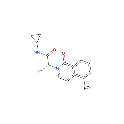 CC(C)[C@H](C(=O)NC1CC1)n1ccc2c(N=O)cccc2c1=O